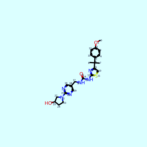 COc1ccc(C(C)(C)c2csc(NC(=O)NCc3cnc(N4CCC(O)C4)nc3)n2)cc1